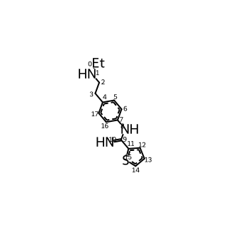 CCNCCc1ccc(NC(=N)c2cccs2)cc1